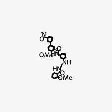 COc1ccccc1C(=O)NCCNc1cccc(N[S+]([O-])c2cc(-c3cccc(C(=O)N(C)C)c3)ccc2OC)c1